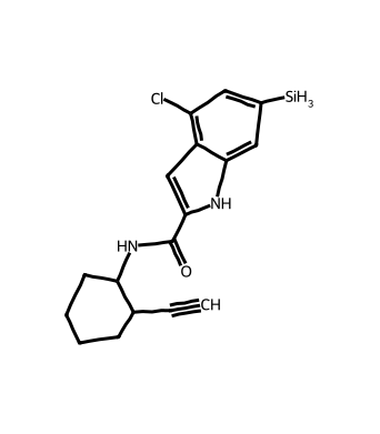 C#CC1CCCCC1NC(=O)c1cc2c(Cl)cc([SiH3])cc2[nH]1